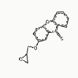 S=c1c2ccccc2oc2ccc(OCC3CO3)cc12